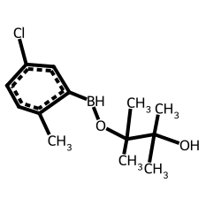 Cc1ccc(Cl)cc1BOC(C)(C)C(C)(C)O